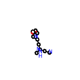 C1=C(c2ccc(C3=NC(c4ccccc4)NC(c4ccc(-c5cccnc5)cc4)=C3)cc2)CCc2c1c1cccc3c1n2-c1ccccc1C31c2ccccc2CCc2ccccc21